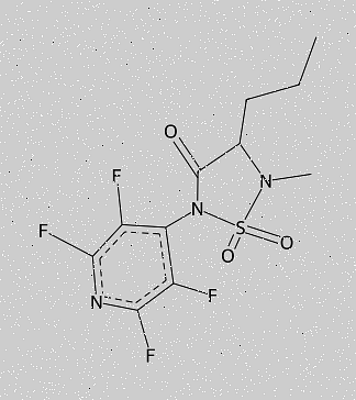 CCCC1C(=O)N(c2c(F)c(F)nc(F)c2F)S(=O)(=O)N1C